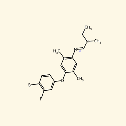 CCN(C)/C=N/c1cc(C)c(Oc2ccc(Br)c(F)c2)cc1C